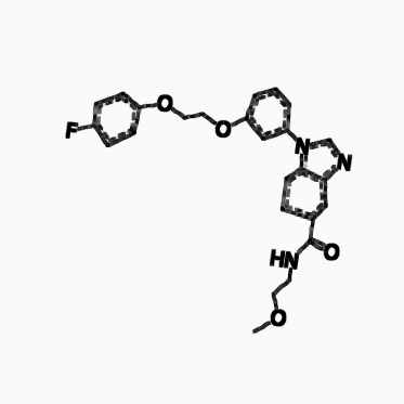 COCCNC(=O)c1ccc2c(c1)ncn2-c1cccc(OCCOc2ccc(F)cc2)c1